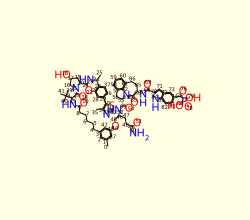 Cc1cc(CCCCCC(=O)N[C@H](C(=O)N2C[C@H](O)C[C@H]2C(=O)N[C@@H](C)c2ccc(-c3scnc3C)cc2)C(C)(C)C)cc(OCC(CCC(N)=O)NC(=O)[C@@H]2Cc3cccc4c3N2C(=O)[C@@H](NC(=O)c2cc3cc(C(=O)P(=O)(O)O)ccc3[nH]2)CC4)c1